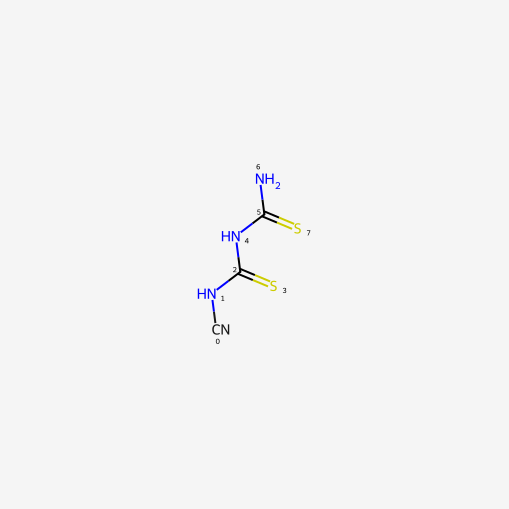 N#CNC(=S)NC(N)=S